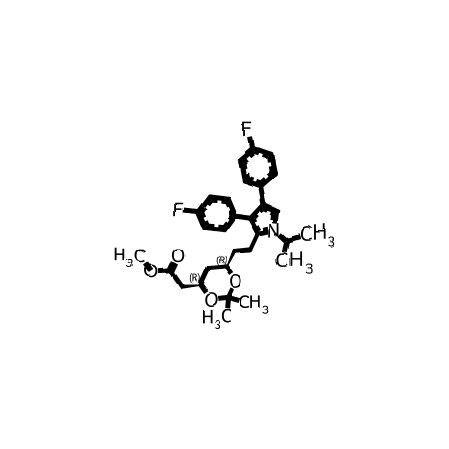 COC(=O)C[C@H]1C[C@@H](CCc2c(-c3ccc(F)cc3)c(-c3ccc(F)cc3)cn2C(C)C)OC(C)(C)O1